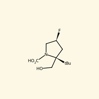 CC(C)(C)[C@]1(CO)C[C@H](F)CN1C(=O)O